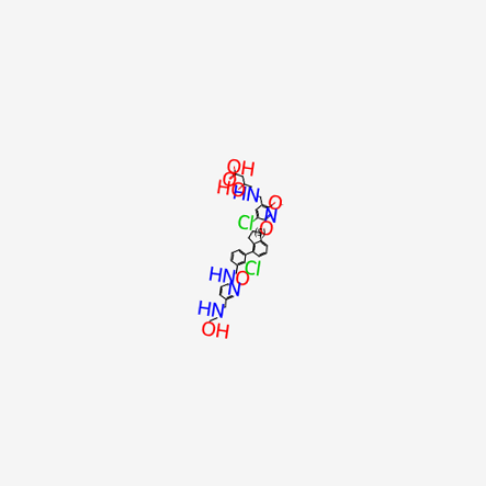 COc1nc(O[C@H]2CCc3c(-c4cccc(C(=O)Nc5ccc(CNCCO)cn5)c4Cl)cccc32)c(Cl)cc1CNCC(O)CC(=O)O